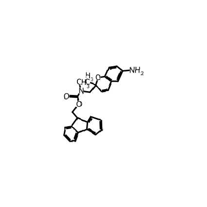 CN(CC1(C)C=Cc2cc(N)ccc2O1)C(=O)OCC1c2ccccc2-c2ccccc21